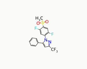 CS(=O)(=O)c1cc(F)c(-n2nc(C(F)(F)F)cc2-c2ccccc2)cc1F